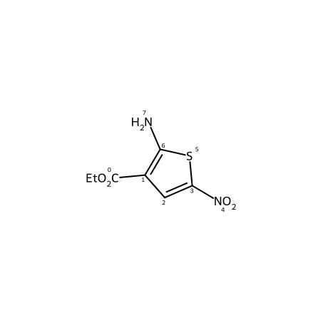 CCOC(=O)c1cc([N+](=O)[O-])sc1N